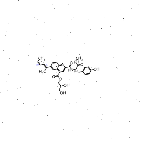 C/C=C\C=C(/C)c1ccc2nc(C(=O)N[C@@H](Cc3ccc(O)cc3)C(=O)PC)cc(C(=O)OCC(O)CO)c2c1